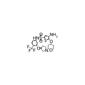 CN1CC[C@@H](Oc2cc(NS(=O)(=O)c3cc(N)c(OC4CCOCC4)s3)ccc2C(F)(F)F)C1